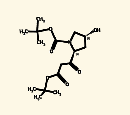 CC(C)(C)OC(=O)CC(=O)[C@@H]1C[C@@H](O)CN1C(=O)OC(C)(C)C